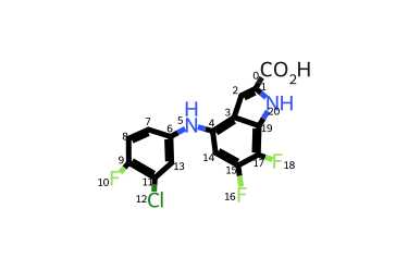 O=C(O)c1cc2c(Nc3ccc(F)c(Cl)c3)cc(F)c(F)c2[nH]1